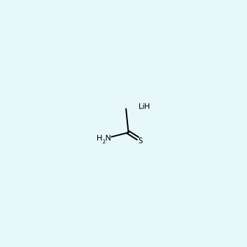 CC(N)=S.[LiH]